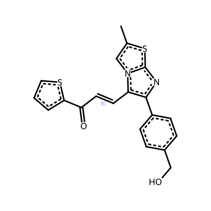 Cc1cn2c(/C=C/C(=O)c3cccs3)c(-c3ccc(CO)cc3)nc2s1